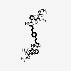 COC(=O)N[C@@H](C)C(=O)N1CCC[C@H]1c1nc(/C=C/c2ccc(/C=C/c3cnc([C@@H]4CCCN4C(=O)[C@H](C)NC(=O)OC)[nH]3)cc2)c[nH]1